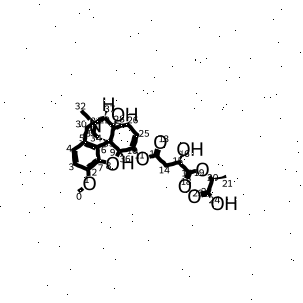 COc1ccc2c3c1O[C@@H]1C(OC(=O)C[C@H](O)C(=O)O[C@@H](C)C(=O)O)=CC[C@]4(O)[C@H](C2)N(C)CC[C@@]314